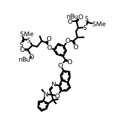 CCCCOC(=O)C(CC(C)C(=O)Oc1cc(OC(=O)C(C)CC(SC(=S)SC)C(=O)OCCCC)cc(C(=O)Oc2ccc3ccc4c(c3c2)N=CC2(O4)N(C)c3ccccc3C2(C)C)c1)SC(=S)SC